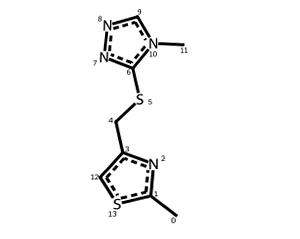 Cc1nc(CSc2nncn2C)cs1